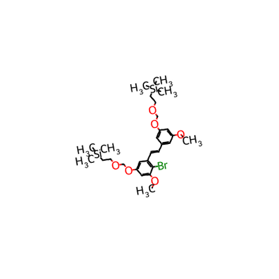 COc1cc(C=Cc2cc(OCOCC[Si](C)(C)C)cc(OC)c2Br)cc(OCOCC[Si](C)(C)C)c1